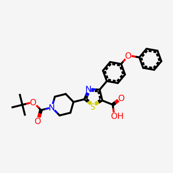 CC(C)(C)OC(=O)N1CCC(c2nc(-c3ccc(Oc4ccccc4)cc3)c(C(=O)O)s2)CC1